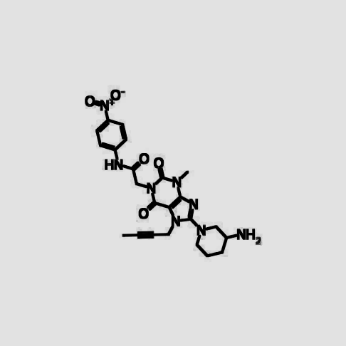 CC#CCn1c(N2CCCC(N)C2)nc2c1c(=O)n(CC(=O)Nc1ccc([N+](=O)[O-])cc1)c(=O)n2C